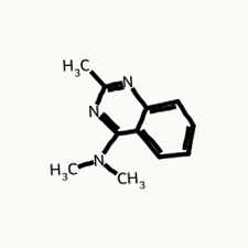 Cc1nc(N(C)C)c2ccccc2n1